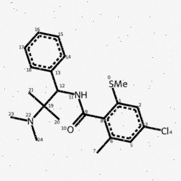 CSc1cc(Cl)cc(C)c1C(=O)NC(c1ccccc1)C(C)(C)N(C)C